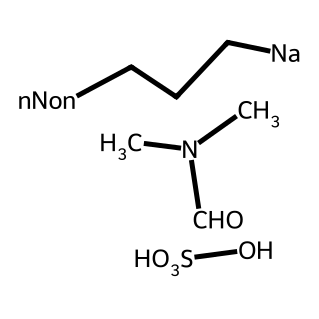 CCCCCCCCCCC[CH2][Na].CN(C)C=O.O=S(=O)(O)O